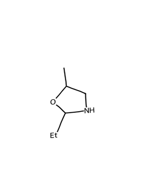 CCC1NCC(C)O1